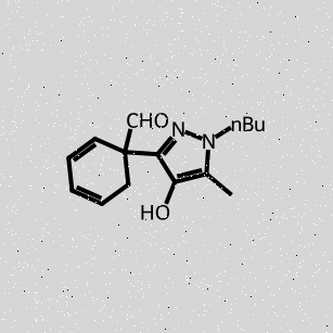 CCCCn1nc(C2(C=O)C=CC=CC2)c(O)c1C